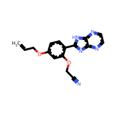 C=CCOc1ccc(-c2nc3nccnc3[nH]2)c(OCC#N)c1